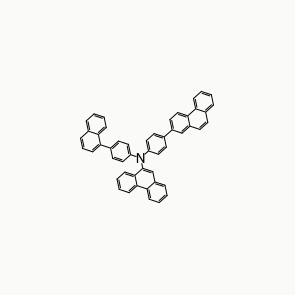 c1ccc2c(-c3ccc(N(c4ccc(-c5ccc6c(ccc7ccccc76)c5)cc4)c4cc5ccccc5c5ccccc45)cc3)cccc2c1